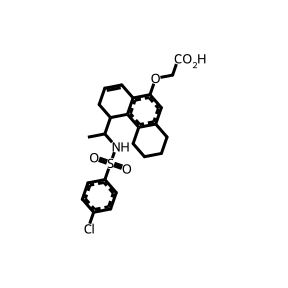 CC(NS(=O)(=O)c1ccc(Cl)cc1)C1CC=Cc2c(OCC(=O)O)cc3c(c21)CCCC3